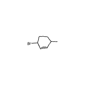 CC1C=CC(Br)CC1